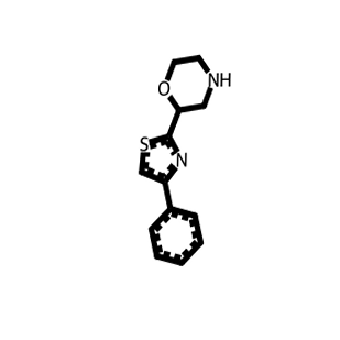 c1ccc(-c2csc(C3CNCCO3)n2)cc1